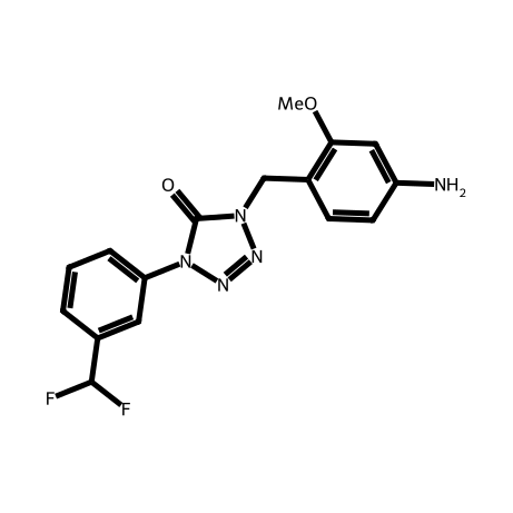 COc1cc(N)ccc1Cn1nnn(-c2cccc(C(F)F)c2)c1=O